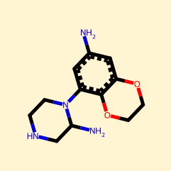 Nc1cc2c(c(N3CCNCC3N)c1)OCCO2